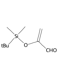 C=C(C=O)O[Si](C)(C)C(C)(C)C